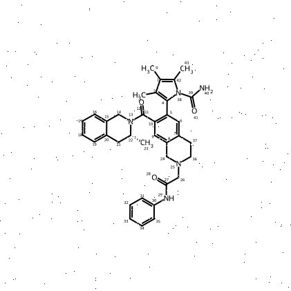 Cc1c(C)c(-c2cc3c(cc2C(=O)N2Cc4ccccc4C[C@H]2C)CN(CC(=O)Nc2ccccc2)CC3)n(C(N)=O)c1C